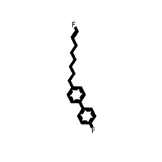 FC=CCCCCCCc1ccc(-c2ccc(F)cc2)cc1